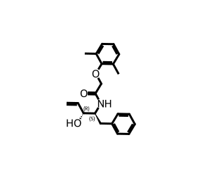 C=C[C@@H](O)[C@H](Cc1ccccc1)NC(=O)COc1c(C)cccc1C